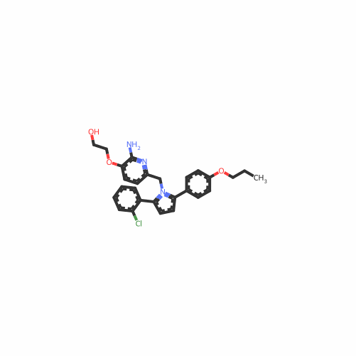 CCCOc1ccc(-c2ccc(-c3ccccc3Cl)n2Cc2ccc(OCCO)c(N)n2)cc1